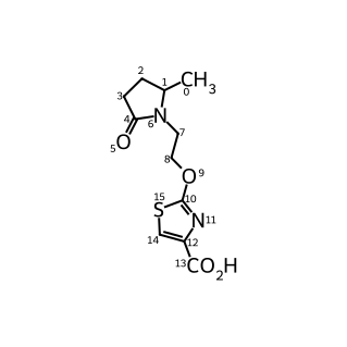 CC1CCC(=O)N1CCOc1nc(C(=O)O)cs1